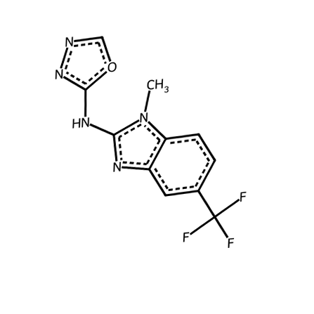 Cn1c(Nc2nnco2)nc2cc(C(F)(F)F)ccc21